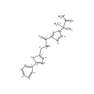 CC(C)(C(N)=O)n1cc(C(=O)NCc2nnc(-c3ccccc3)s2)nn1